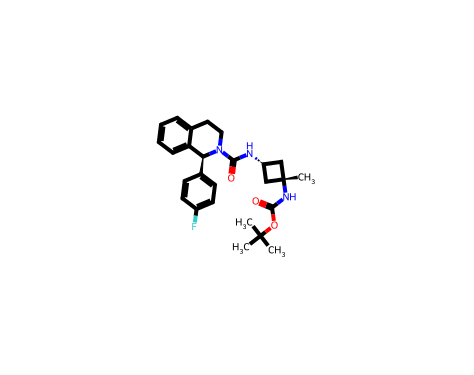 CC(C)(C)OC(=O)N[C@]1(C)C[C@H](NC(=O)N2CCc3ccccc3[C@@H]2c2ccc(F)cc2)C1